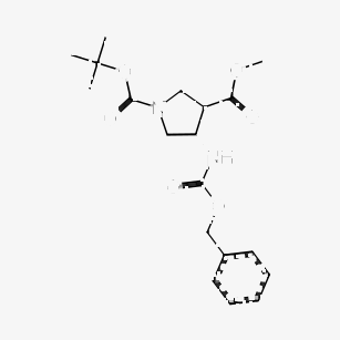 COC(=O)C1CN(C(=O)OC(C)(C)C)C[C@H]1NC(=O)OCc1ccccc1